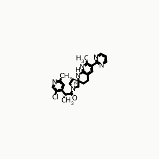 Cc1cc([C@@H](C)C(=O)N2CC[C@@]3(CCc4cc(-c5ncccn5)c(C)nc4N3)C2)c(Cl)cn1